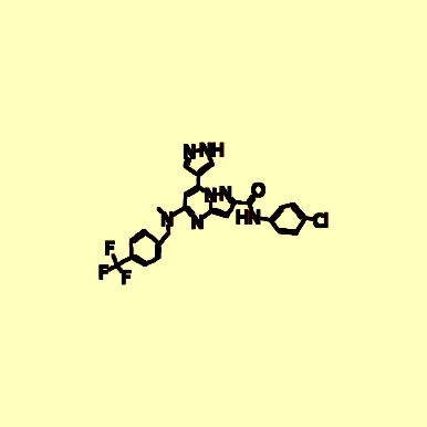 CN(Cc1ccc(C(F)(F)F)cc1)c1cc(-c2cn[nH]c2)n2nc(C(=O)Nc3ccc(Cl)cc3)cc2n1